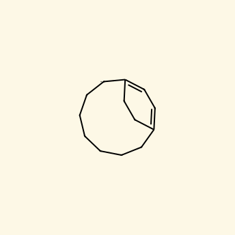 [CH]1CCCCCCC2=CC=C1CC2